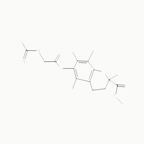 CNC(=O)C1(C)CCc2c(C)c(OC(=O)CNC(=N)N)c(C)c(C)c2O1